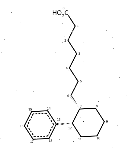 O=C(O)CCCCCC[C@@H]1CCCC[C@@H]1c1ccccc1